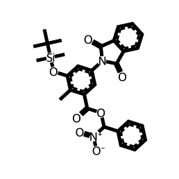 Cc1c(O[Si](C)(C)C(C)(C)C)cc(N2C(=O)c3ccccc3C2=O)cc1C(=O)OC(c1ccccc1)[N+](=O)[O-]